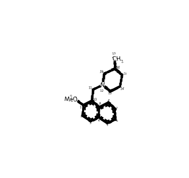 COc1ccc2ccccc2c1CN1CCCC(C)C1